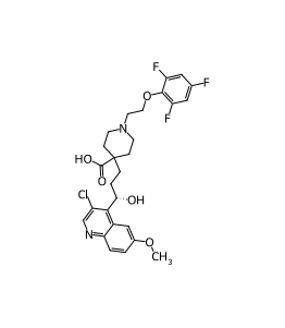 COc1ccc2ncc(Cl)c([C@@H](O)CCC3(C(=O)O)CCN(CCOc4c(F)cc(F)cc4F)CC3)c2c1